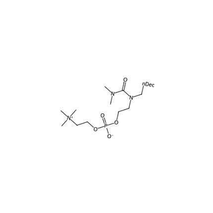 CCCCCCCCCCCN(CCOP(=O)([O-])OCC[N+](C)(C)C)C(=O)N(C)C